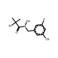 CCC(C)(C)C(=O)N(O)Cc1cc(F)cc(C#N)c1